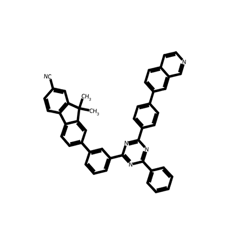 CC1(C)c2cc(C#N)ccc2-c2ccc(-c3cccc(-c4nc(-c5ccccc5)nc(-c5ccc(-c6ccc7ccncc7c6)cc5)n4)c3)cc21